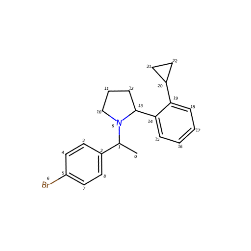 CC(c1ccc(Br)cc1)N1CCCC1c1ccccc1C1CC1